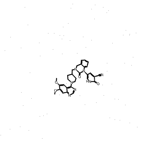 COc1cc2ncnc(N3CCC(CN4Cc5ccccc5N(c5c[nH]c(=O)c(C#N)c5)C4=O)CC3)c2cc1OC